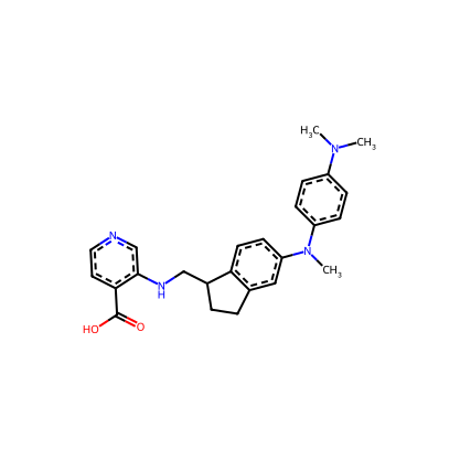 CN(C)c1ccc(N(C)c2ccc3c(c2)CCC3CNc2cnccc2C(=O)O)cc1